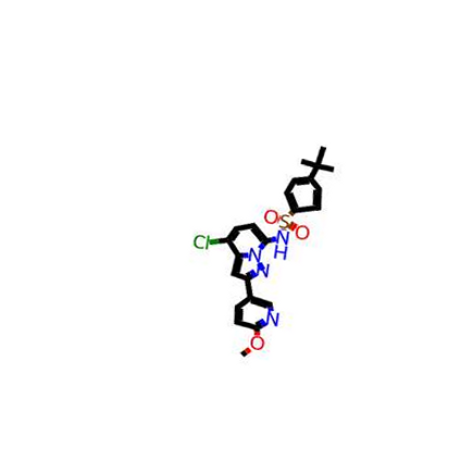 COc1ccc(-c2cc3c(Cl)ccc(NS(=O)(=O)c4ccc(C(C)(C)C)cc4)n3n2)cn1